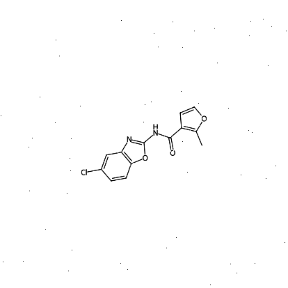 Cc1occc1C(=O)Nc1nc2cc(Cl)ccc2o1